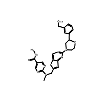 COCc1cccc(C2CN(c3ncc4sc(CN(C)c5ncc(C(=O)NO)cn5)cc4n3)CCO2)c1